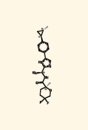 C[C@H]1C[C@@H]1c1ccc(-c2cnc([C@@H](NC(=O)[C@]3(C)CCC(F)(F)CO3)C(C)(C)C)[nH]2)cc1